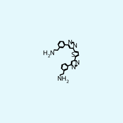 NCCc1cccc(-c2cc(-c3ccc(-c4cc(-c5cccc(CCN)c5)ncn4)s3)ncn2)c1